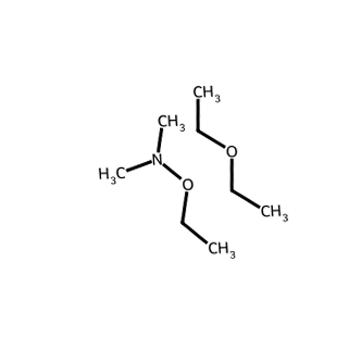 CCOCC.CCON(C)C